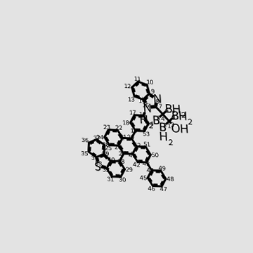 BC(B)(O)C(B)(B)c1nc2ccccc2n1-c1ccc(-c2c3ccccc3c(-c3cccc4sc5ccccc5c34)c3cc(-c4ccccc4)ccc23)cc1